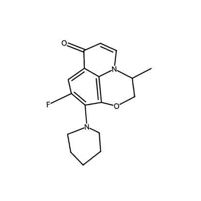 CC1COc2c(N3CCCCC3)c(F)cc3c(=O)ccn1c23